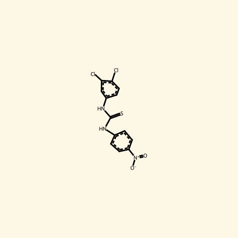 O=[N+]([O-])c1ccc(NC(=S)Nc2ccc(Cl)c(Cl)c2)cc1